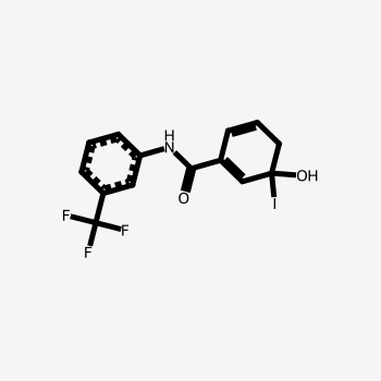 O=C(Nc1cccc(C(F)(F)F)c1)C1=CC(O)(I)CC=C1